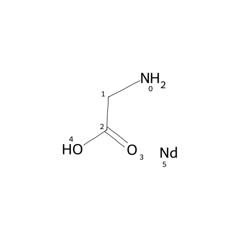 NCC(=O)O.[Nd]